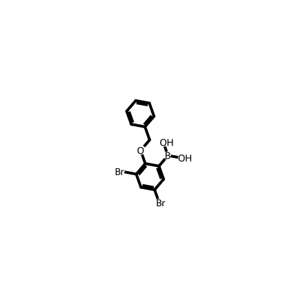 OB(O)c1cc(Br)cc(Br)c1OCc1ccccc1